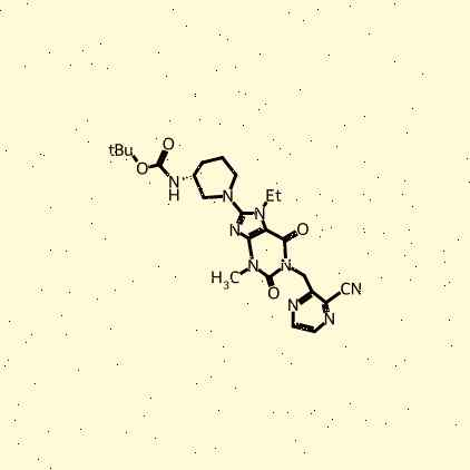 CCn1c(N2CCC[C@@H](NC(=O)OC(C)(C)C)C2)nc2c1c(=O)n(Cc1nccnc1C#N)c(=O)n2C